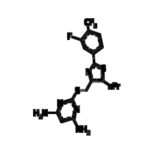 CCCc1sc(-c2ccc(C(F)(F)F)c(F)c2)nc1CSc1nc(N)cc(N)n1